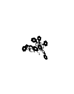 Cn1c(Cc2cccc([C@@H]3O[C@H](COCc4ccccc4)[C@@H](OCc4ccccc4)[C@H](OCc4ccccc4)[C@H]3OCc3ccccc3)c2)cc2ccccc21